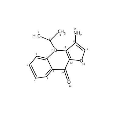 CC(C)B1c2ccccc2C(=O)c2occ(N)c21